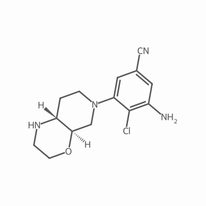 N#Cc1cc(N)c(Cl)c(N2CC[C@H]3NCCO[C@@H]3C2)c1